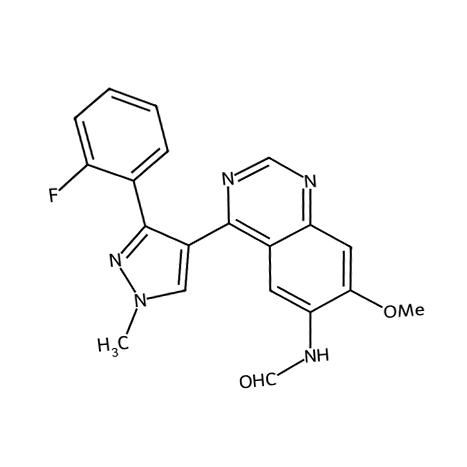 COc1cc2ncnc(-c3cn(C)nc3-c3ccccc3F)c2cc1NC=O